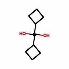 O[Si](O)(C1CCC1)C1CCC1